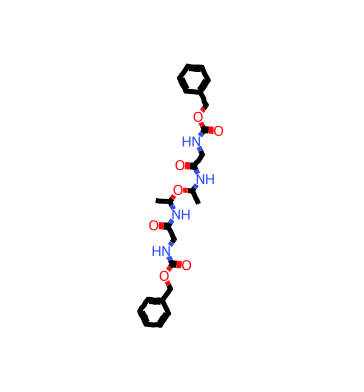 CC(NC(=O)CNC(=O)OCc1ccccc1)OC(C)NC(=O)CNC(=O)OCc1ccccc1